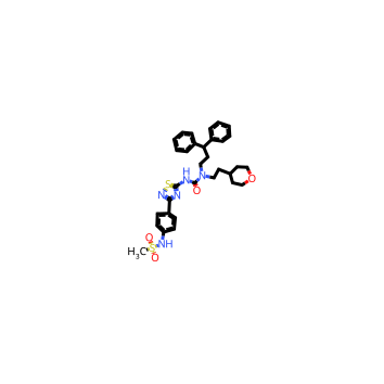 CS(=O)(=O)Nc1ccc(-c2nsc(NC(=O)N(CCC3CCOCC3)CCC(c3ccccc3)c3ccccc3)n2)cc1